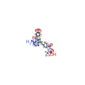 C[C@@H](CN(C(=O)O)C(C)(C)C)C(=O)N1CCC(CCn2c(Sc3cc4c(cc3Br)OCO4)nc3c(N)ncnc32)CC1